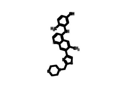 Cc1ccc(O)cc1Nc1ccnc2cc(-c3csc(CN4CCOCC4)n3)c(C)cc12